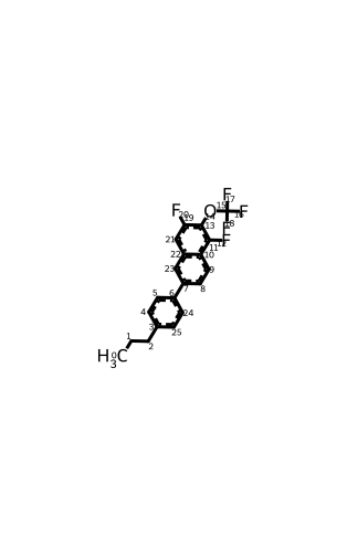 CCCc1ccc(-c2ccc3c(F)c(OC(F)(F)F)c(F)cc3c2)cc1